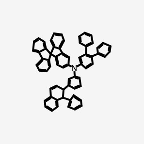 C1=CC(c2cccc(N(c3ccc(-c4ccccc4)c(-c4ccccc4)c3)c3ccc4c(c3)-c3ccccc3C43c4ccccc4-c4ccccc43)c2)C(c2ccccc2)c2ccccc21